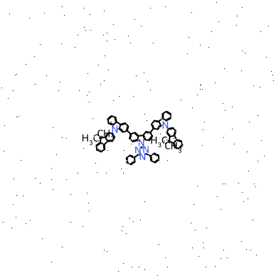 CC1(C)c2ccccc2-c2ccc(-n3c4ccccc4c4ccc(-c5ccc6c(c5)c5cc(-c7ccc8c9ccccc9n(-c9ccc%10c(c9)C(C)(C)c9ccccc9-%10)c8c7)ccc5n6-c5nc(-c6ccccc6)nc(-c6ccccc6)n5)cc43)cc21